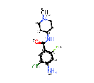 CN1CCC(NC(=O)c2cc(Cl)c(N)cc2F)CC1